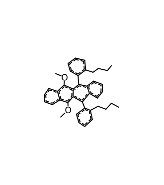 CCCCc1ccccc1-c1c2ccccc2c(-c2ccccc2CCCC)c2c(OC)c3ccccc3c(OC)c12